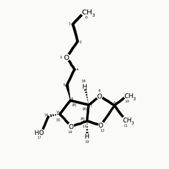 CCCOCC[C@H]1[C@H]2OC(C)(C)O[C@H]2O[C@@H]1CO